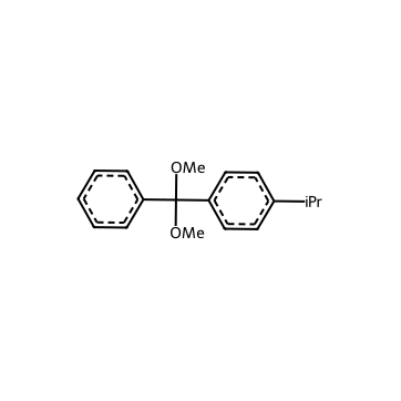 COC(OC)(c1ccccc1)c1ccc(C(C)C)cc1